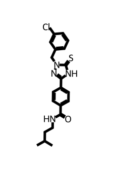 CC(C)CCNC(=O)c1ccc(-c2nn(Cc3cccc(Cl)c3)c(=S)[nH]2)cc1